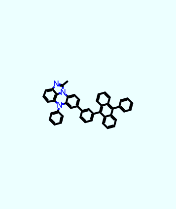 Cc1nc2cccc3c2n1-c1ccc(-c2cccc(-c4c5ccccc5c(-c5ccccc5)c5ccccc45)c2)cc1N3c1ccccc1